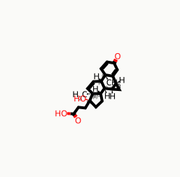 C[C@]12C=CC(=O)C=C1[C@H]1C[C@H]1[C@@H]1[C@@H]2C=C[C@@]2(C)[C@H]1CC[C@@]2(O)CCC(=O)O